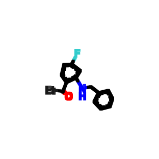 CCC(=O)c1ccc(F)cc1NCc1ccccc1